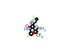 Cn1nc2c3c(c(-c4c(F)cc(C(F)(F)F)cc4C(N)=O)cc2c1CC1CCC1(F)F)C(c1cc(F)ccc1Cl)NC3=O